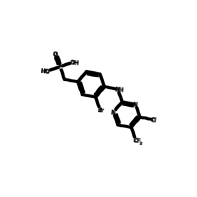 O=P(O)(O)Cc1ccc(Nc2ncc(C(F)(F)F)c(Cl)n2)c(Br)c1